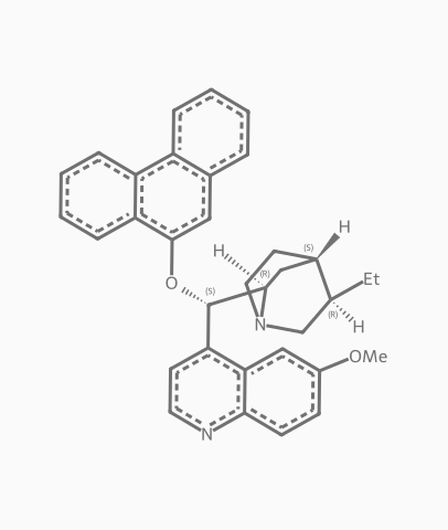 CC[C@H]1CN2CC[C@H]1C[C@@H]2[C@@H](Oc1cc2ccccc2c2ccccc12)c1ccnc2ccc(OC)cc12